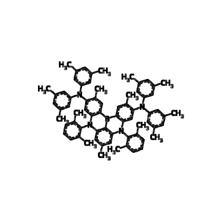 Cc1cc(C)cc(N(c2cc(C)cc(C)c2)c2cc3c(cc2C)B2c4cc(C)c(N(c5cc(C)cc(C)c5)c5cc(C)cc(C)c5)cc4N(c4c(C)cccc4C)c4cc(C)cc(c42)N3c2c(C)cccc2C)c1